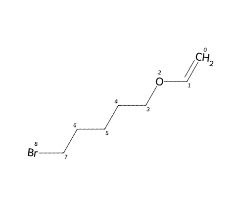 C=COCCCCCBr